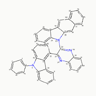 c1ccc(-n2c3ccccc3c3c(-c4nc5ccccc5nc4-n4c5ccccc5c5cc6ccccc6cc54)cccc32)cc1